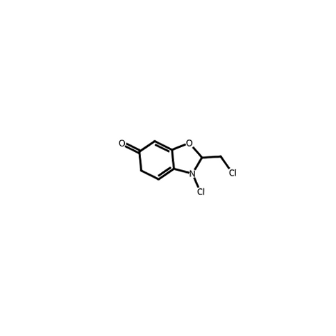 O=C1C=C2OC(CCl)N(Cl)C2=CC1